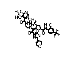 Cc1ncnc(C(=O)N2CCN(c3c4n(c5nc(C6=CCOCC6)nn5c3=O)C(C(=O)Nc3ccc(C(F)(F)F)cc3Cl)CC4C)CC2C)c1O